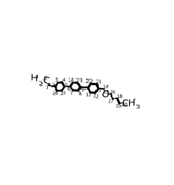 C=Cc1ccc(-c2ccc(-c3ccc(COCCC=CC)cc3)cc2)cc1